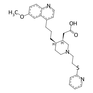 COc1ccc2nccc(CCC[C@@H]3CCN(CCSc4ccccn4)C[C@@H]3CC(=O)O)c2c1